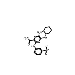 CS(=O)(=O)c1cccc(Nc2nc(N[C@@H]3CCCC[C@@H]3N)cnc2C(N)=O)c1